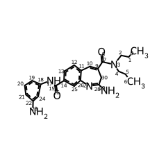 CCCN(CCC)C(=O)C1=Cc2ccc(C(=O)Nc3cccc(N)c3)cc2N=C(N)C1